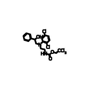 O=C(NCCN(CC(O)c1ccccc1)c1cc(Cl)ccc1Cl)OCC(Cl)(Cl)Cl